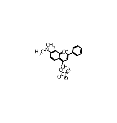 Cc1cc(-c2ccccc2)[o+]c2cc(N(C)C)ccc12.[O-][Cl+3]([O-])([O-])[O-]